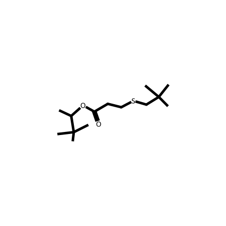 CC(OC(=O)CCSCC(C)(C)C)C(C)(C)C